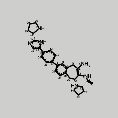 C=C(NC1=C(N)Cc2cc(-c3ccc(-c4cnc([C@@H]5CCCN5)[nH]4)cc3)ccc2CC1)[C@@H]1CCCN1